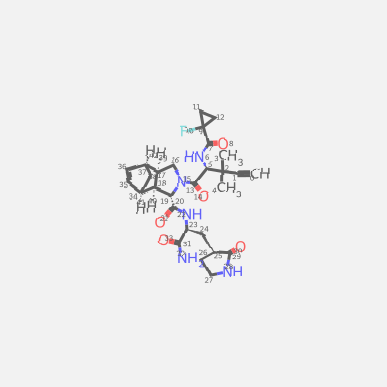 C#CC(C)(C)[C@H](NC(=O)C1(F)CC1)C(=O)N1C[C@H]2[C@@H]([C@H]1C(=O)N[C@@H](C[C@@H]1CCNC1=O)C(N)=O)[C@H]1C=C[C@@H]2C1